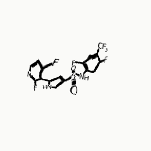 O=S(=O)(Nc1cc(F)c(C(F)(F)F)cc1F)c1c[nH]c(-c2c(F)ccnc2F)c1